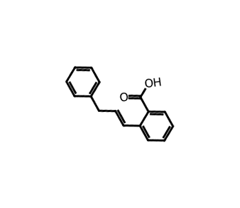 O=C(O)c1ccccc1C=CCc1ccccc1